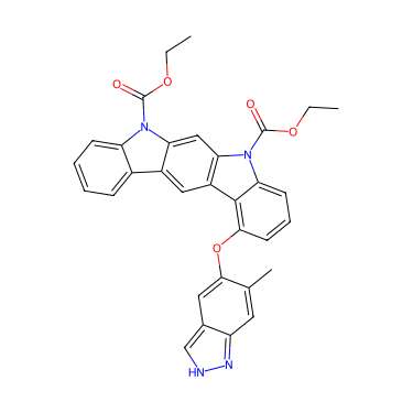 CCOC(=O)n1c2ccccc2c2cc3c4c(Oc5cc6c[nH]nc6cc5C)cccc4n(C(=O)OCC)c3cc21